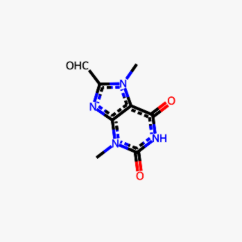 Cn1c(C=O)nc2c1c(=O)[nH]c(=O)n2C